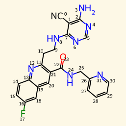 N#Cc1c(N)ncnc1NCCc1nc2ccc(F)cc2cc1C(=O)NCc1ccccn1